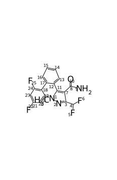 Cn1nc(C(F)F)c(C(N)=O)c1-c1ccccc1-c1ccc(F)cc1F